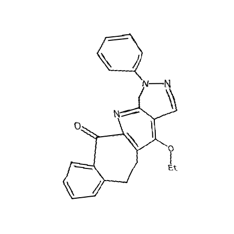 CCOc1c2c(nc3c1cnn3-c1ccccc1)C(=O)c1ccccc1CC2